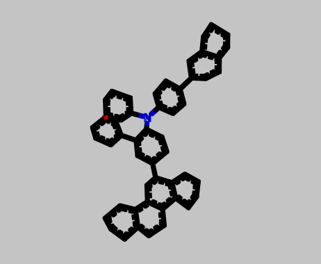 c1ccc(-c2cc(-c3cc4c5ccccc5ccc4c4ccccc34)ccc2N(c2ccccc2)c2ccc(-c3ccc4ccccc4c3)cc2)cc1